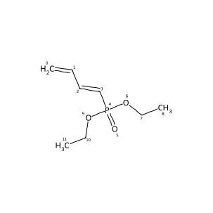 C=CC=CP(=O)(OCC)OCC